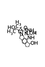 CC(C)(O)c1cnc(S(N)(=O)=NC(O)Nc2c3c(cc4c2C(O)CC4)CCC3)s1